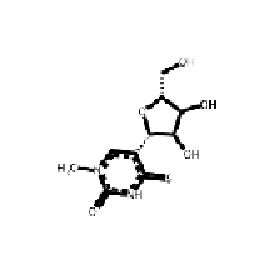 Cn1cc([C@@H]2O[C@H](CO)C(O)C2O)c(=S)[nH]c1=O